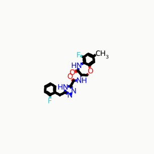 Cc1cc(F)c2c(c1)OC[C@H](NC(=O)c1nnc(Cc3ccccc3F)[nH]1)C(=O)N2